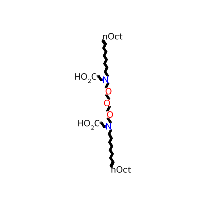 CCCCCCCCC=CCCCCCCCCN(CCOCCOCCOCCN(CCCCCCCCC=CCCCCCCCC)CCC(=O)O)CCC(=O)O